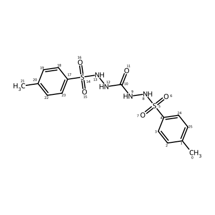 Cc1ccc(S(=O)(=O)NNC(=O)NNS(=O)(=O)c2ccc(C)cc2)cc1